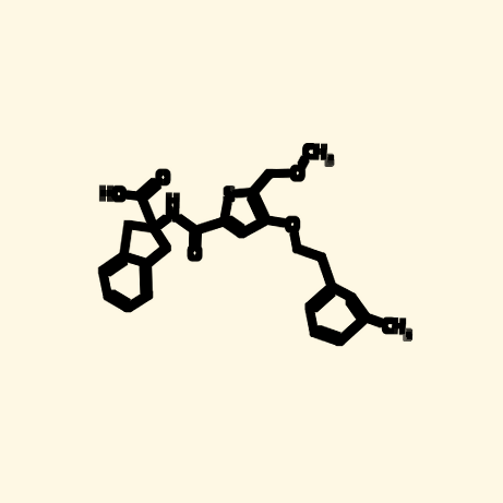 COCc1sc(C(=O)NC2(C(=O)O)Cc3ccccc3C2)cc1OCCc1cccc(C)c1